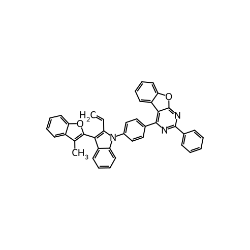 C=Cc1c(-c2oc3ccccc3c2C)c2ccccc2n1-c1ccc(-c2nc(-c3ccccc3)nc3oc4ccccc4c23)cc1